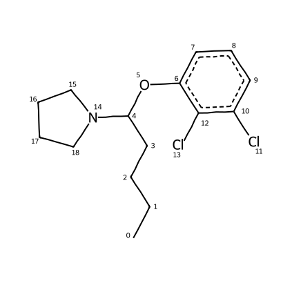 CCCCC(Oc1cccc(Cl)c1Cl)N1CCCC1